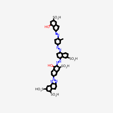 Cc1cc(N=Nc2ccc(N=Nc3c(S(=O)(=O)O)cc4cc(-n5nc6ccc7c(S(=O)(=O)O)cc(S(=O)(=O)O)cc7c6n5)ccc4c3O)c3cc(S(=O)(=O)O)ccc23)ccc1N=Nc1ccc2cc(S(=O)(=O)O)cc(O)c2c1